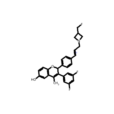 CC1=C(c2cc(F)cc(F)c2)C(c2ccc(/C=C/CN3CC(CF)C3)cc2)Oc2ccc(O)cc21